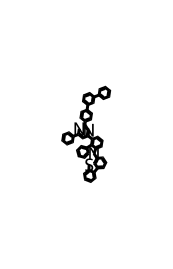 c1ccc(-c2cccc(-c3ccc(-c4nc(-c5ccccc5)cc(-c5cccc6c5c5ccccc5n6-c5cccc6c5sc5ccccc56)n4)cc3)c2)cc1